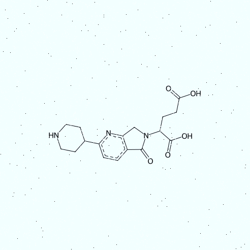 O=C(O)CCC(C(=O)O)N1Cc2nc(C3CCNCC3)ccc2C1=O